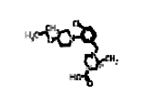 CC(C)OC1CCN(c2cc(CN3CCN(C(=O)O)C[C@@H]3C)ccc2Cl)CC1